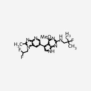 COc1nc(NCC(C)(C)F)nc2[nH]cc(-c3cnc4nc(C)n(CC(F)F)c4c3)c12